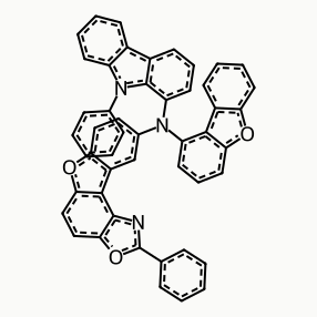 c1ccc(-c2nc3c(ccc4oc5ccc(N(c6cccc7oc8ccccc8c67)c6cccc7c8ccccc8n(-c8ccccc8)c67)cc5c43)o2)cc1